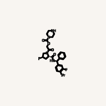 CC(C)c1ccc([C@@H](NC(=O)[C@@H]2C[C@@H](F)CN2C(=O)COC(=O)N2CCNCC2)c2ccccc2)cc1F